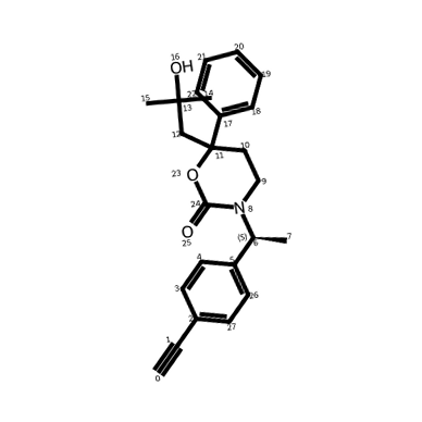 C#Cc1ccc([C@H](C)N2CCC(CC(C)(C)O)(c3ccccc3)OC2=O)cc1